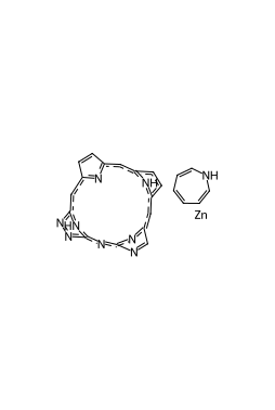 C1=CC=CNC=C1.C1=Cc2cc3nnc(nc4nc(cc5ccc(cc1n2)[nH]5)C=N4)[nH]3.[Zn]